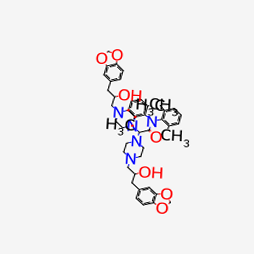 Cc1cccc(C)c1N(C(=O)C(N1CCN(CC(O)Cc2ccc3c(c2)OCO3)CC1)N1CCN(CC(O)Cc2ccc3c(c2)OCO3)CC1)c1c(C)cccc1C